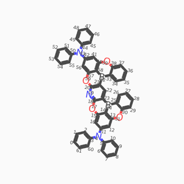 c1ccc(N(c2ccccc2)c2cc3c4c(c2)Oc2nc5c(cc2B4c2ccccc2O3)B2c3ccccc3Oc3cc(N(c4ccccc4)c4ccccc4)cc(c32)O5)cc1